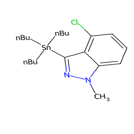 CCC[CH2][Sn]([CH2]CCC)([CH2]CCC)[c]1nn(C)c2cccc(Cl)c12